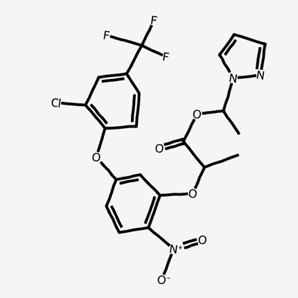 CC(Oc1cc(Oc2ccc(C(F)(F)F)cc2Cl)ccc1[N+](=O)[O-])C(=O)OC(C)n1cccn1